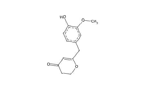 COc1cc(CC2=CC(=O)CCO2)ccc1O